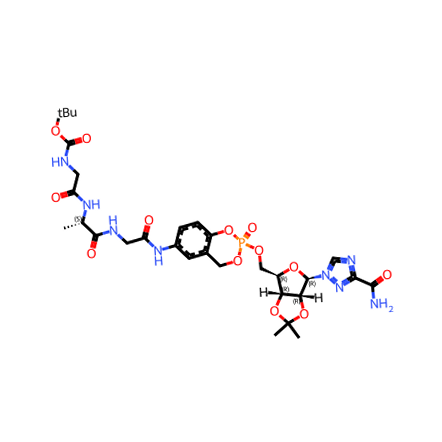 C[C@H](NC(=O)CNC(=O)OC(C)(C)C)C(=O)NCC(=O)Nc1ccc2c(c1)COP(=O)(OC[C@H]1O[C@@H](n3cnc(C(N)=O)n3)[C@@H]3OC(C)(C)O[C@@H]31)O2